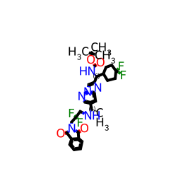 C[C@H](NCC(F)(F)CN1C(=O)c2ccccc2C1=O)c1cnn2cc([C@@H](NC(=O)OC(C)(C)C)C3CCC(F)(F)CC3)nc2c1